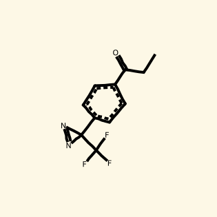 CCC(=O)c1ccc(C2(C(F)(F)F)N=N2)cc1